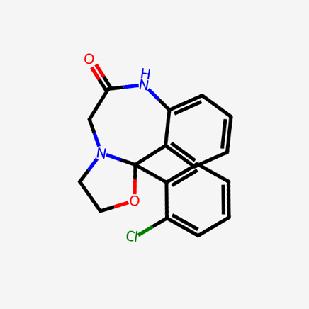 O=C1CN2CCOC2(c2ccccc2Cl)c2ccccc2N1